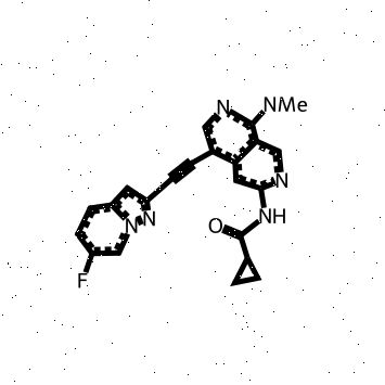 CNc1ncc(C#Cc2cc3ccc(F)cn3n2)c2cc(NC(=O)C3CC3)ncc12